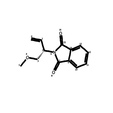 C=C[C@@H](COC)N1C(=O)c2ccccc2C1=O